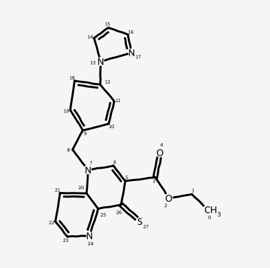 CCOC(=O)c1cn(Cc2ccc(-n3cccn3)cc2)c2cccnc2c1=S